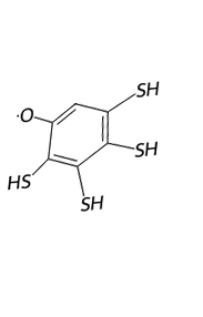 [O]c1cc(S)c(S)c(S)c1S